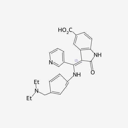 CCN(CC)Cc1ccc(N/C(=C2\C(=O)Nc3ccc(C(=O)O)cc32)c2cccnc2)cc1